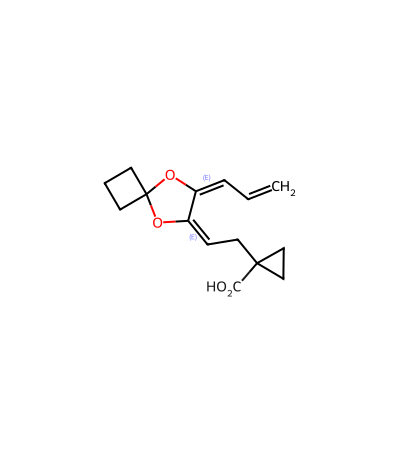 C=C/C=C1/OC2(CCC2)O/C1=C/CC1(C(=O)O)CC1